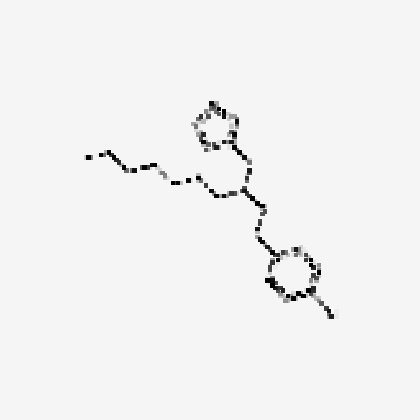 CCCCCSCC(Cn1ccnc1)SCc1ccc(Cl)cc1